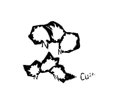 [Cu+2].c1cnc2c(c1)ccc1cccnc12.c1cnc2c(c1)ccc1cccnc12